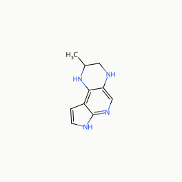 CC1CNc2cnc3[nH]ccc3c2N1